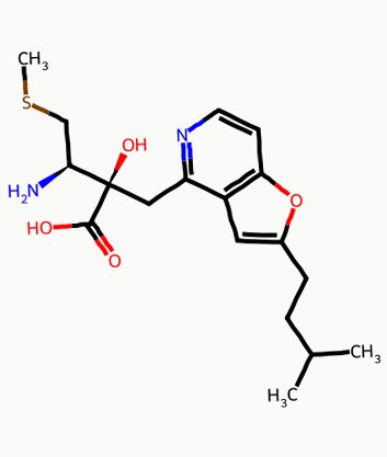 CSC[C@H](N)[C@](O)(Cc1nccc2oc(CCC(C)C)cc12)C(=O)O